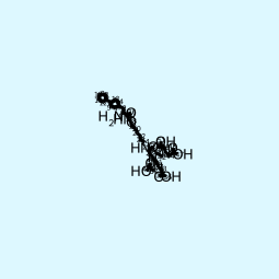 N[C@H](Cc1ccc(-c2ccccc2)cc1)C(=O)NOCCCCCCNC(=O)CN(CCN(CC(=O)O)CC(=O)O)CCN(CC(=O)O)CC(=O)O